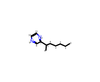 CCCCCC(C)c1cnccn1